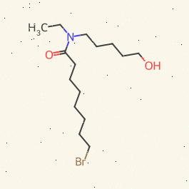 CCN(CCCCCO)C(=O)CCCCCCCBr